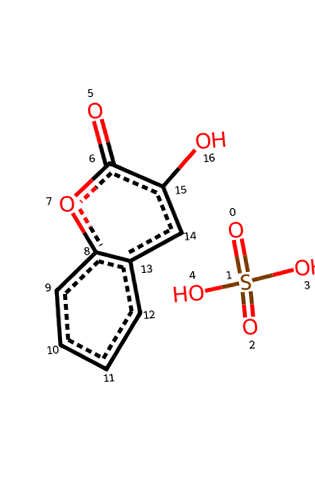 O=S(=O)(O)O.O=c1oc2ccccc2cc1O